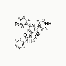 O=C(Nc1ccncc1)N1CCOc2c(N3CCNCC3)nc(-c3cccc(F)c3)nc21